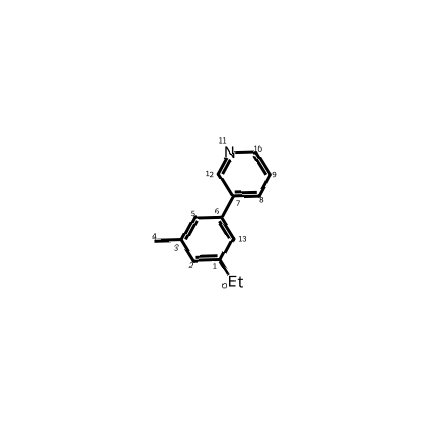 CCc1cc(C)cc(-c2cccnc2)c1